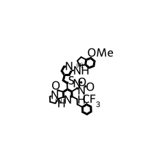 COc1cccc2c1CC[C@H]2Nc1nccc2cc(-c3c4c(nc(CCc5ccccc5C(F)(F)F)c3-c3noc(=O)[nH]3)[C@@H]3CCCN3C4=O)sc12